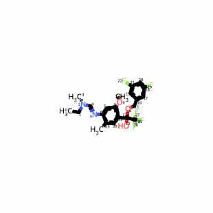 CCN(C)/C=N/c1cc(OC)c(C(O)(OCc2cc(F)cc(F)c2)C(F)(F)F)cc1C